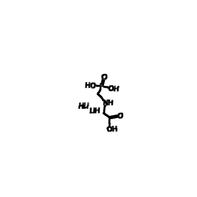 O=C(O)CNCP(=O)(O)O.[LiH].[LiH]